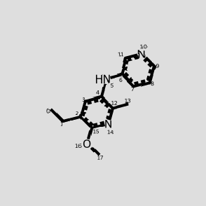 CCc1cc(Nc2cccnc2)c(C)nc1OC